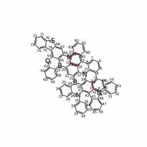 c1ccc(-c2cccc(-c3ccccc3)c2N2c3cc4c(cc3B3c5ccccc5N(c5ccccc5)c5c3c2cc2c5c3ccccc3n2-c2ccccc2)B2c3ccccc3Oc3c2c(cc2sc5ccccc5c32)N4c2ccccc2)cc1